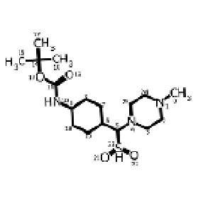 CN1CCN(C(C2CCC(NC(=O)OC(C)(C)C)CC2)[SH](=O)=O)CC1